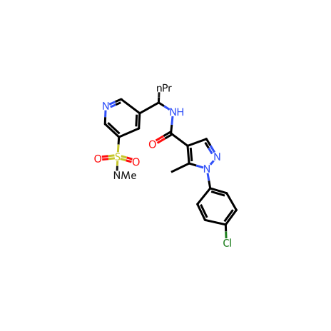 CCCC(NC(=O)c1cnn(-c2ccc(Cl)cc2)c1C)c1cncc(S(=O)(=O)NC)c1